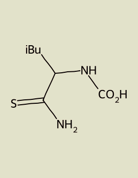 CCC(C)C(NC(=O)O)C(N)=S